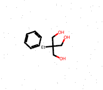 CCC(CO)(CO)CO.c1ccccc1